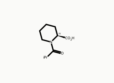 CC(C)C(=O)N1CCCC[C@H]1C(=O)O